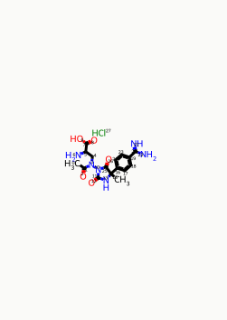 CC(=O)N(CC(N)C(=O)O)N1C(=O)NC(C)(c2ccc(C(=N)N)cc2)C1=O.Cl